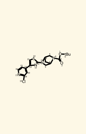 CC(C)(C)OC(=O)N1CC2CC1CN2c1nc(-c2ccnc(Cl)c2)cs1